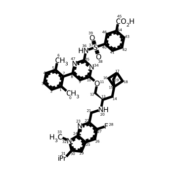 Cc1cccc(C)c1-c1cc(OC[C@@H](CC23CC(C2)C3)NCc2nc3c(cc2F)cc(C(C)C)n3C)nc(NS(=O)(=O)c2cccc(C(=O)O)c2)n1